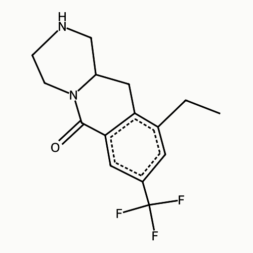 CCc1cc(C(F)(F)F)cc2c1CC1CNCCN1C2=O